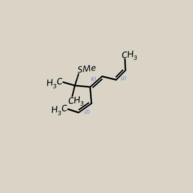 C\C=C/C=C(\C=C/C)C(C)(C)SC